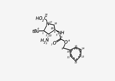 CC(C)(C)C1[C@@H](N)[C@H](NC(=O)OCc2ccccc2)CN1C(=O)O